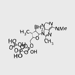 BC1C(C)C(COP(=O)(O)OP(=O)(O)OP(=O)(O)O)OC1n1c(C)nc2c(NC)ncnc21